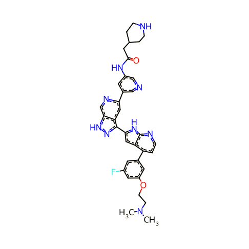 CN(C)CCOc1cc(F)cc(-c2ccnc3[nH]c(-c4n[nH]c5cnc(-c6cncc(NC(=O)CC7CCNCC7)c6)cc45)cc23)c1